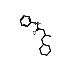 CC(CC(=O)Nc1ccccc1)CC1CCCCC1